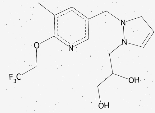 Cc1cc(CN2CC=CN2CC(O)CO)cnc1OCC(F)(F)F